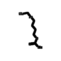 CC(C)(C)[CH2][Zn][CH2]CCCOC(=O)C(C)(C)C